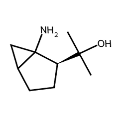 CC(C)(O)[C@H]1CCC2CC21N